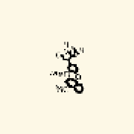 COc1cc(C2CC(=O)Nc3n[nH]cc32)ccc1Oc1ccc(C#N)c2ccccc12